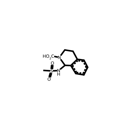 CS(=O)(=O)NC1c2ccccc2CCN1C(=O)O